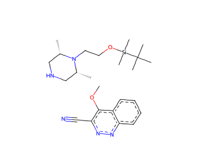 COc1c(C#N)nnc2ccccc12.C[C@@H]1CNC[C@H](C)N1CCO[Si](C)(C)C(C)(C)C